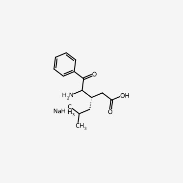 CC(C)C[C@@H](CC(=O)O)C(N)C(=O)c1ccccc1.[NaH]